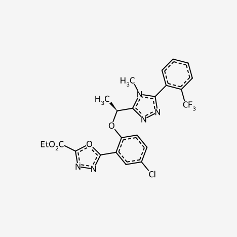 CCOC(=O)c1nnc(-c2cc(Cl)ccc2O[C@@H](C)c2nnc(-c3ccccc3C(F)(F)F)n2C)o1